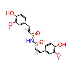 COc1cc(/C=C\[S+]([O-])N[S+]([O-])/C=C/c2ccc(O)c(OC)c2)ccc1O